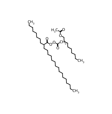 CCCCCCCCCCCCCCCCC(CCCCCCCC)C(=O)OOC(C)=O.CCCCCCCCCOC(C)=O